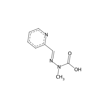 CN(N=Cc1ccccn1)C(=O)O